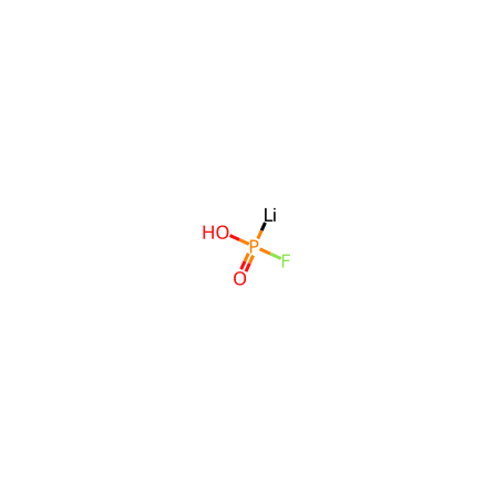 [Li][P](=O)(O)F